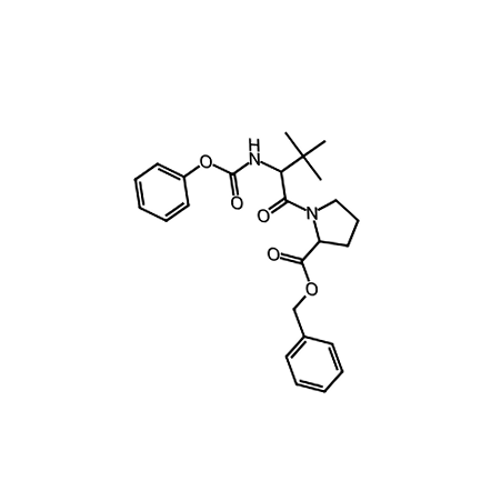 CC(C)(C)C(NC(=O)Oc1ccccc1)C(=O)N1CCCC1C(=O)OCc1ccccc1